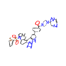 CN(c1ccc2[nH]c3ncc(-c4ccc(C(=O)N5CCN(c6cnccn6)CC5)cc4)cc3c2c1)S(=O)(=O)c1cccs1